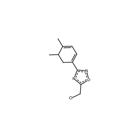 CC1=CC=C(c2noc(CCl)n2)CC1C